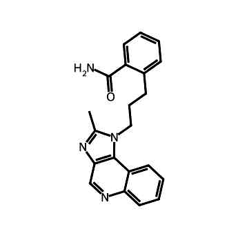 Cc1nc2cnc3ccccc3c2n1CCCc1ccccc1C(N)=O